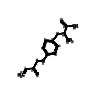 C=CC(=O)COc1ccc(CC(N)C(=O)O)cc1